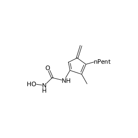 C=C1C=C(NC(=O)NO)C(C)=C1CCCCC